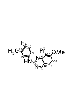 COC1=C(C(C)C)c2nc(Nc3ccc(F)c(C)c3)ncc2CC1